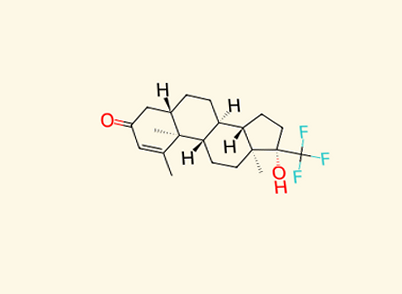 CC1=CC(=O)C[C@@H]2CC[C@@H]3[C@H](CC[C@@]4(C)[C@H]3CC[C@@]4(O)C(F)(F)F)[C@@]12C